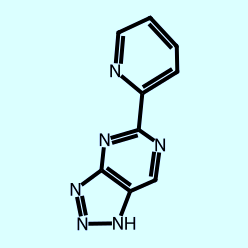 c1ccc(-c2ncc3[nH]nnc3n2)nc1